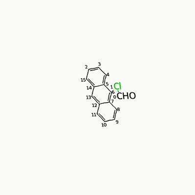 O=CCl.c1ccc2cc3ccccc3cc2c1